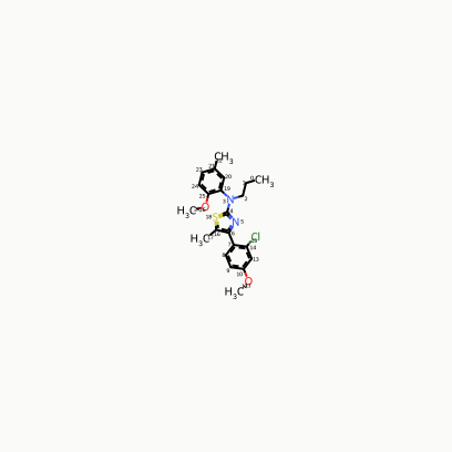 CCCN(c1nc(-c2ccc(OC)cc2Cl)c(C)s1)c1cc(C)ccc1OC